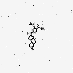 CCN1CCN2c3ccc(Nc4ncc(C(N)=O)c(NC5CC5)n4)cc3OCC2C1